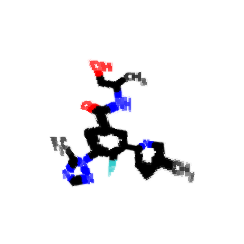 Cc1ccc(-c2cc(C(=O)NC(C)CO)cc(-n3ncnc3C(F)(F)F)c2F)nc1